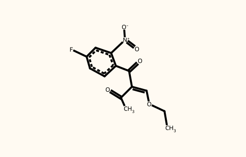 CCOC=C(C(C)=O)C(=O)c1ccc(F)cc1[N+](=O)[O-]